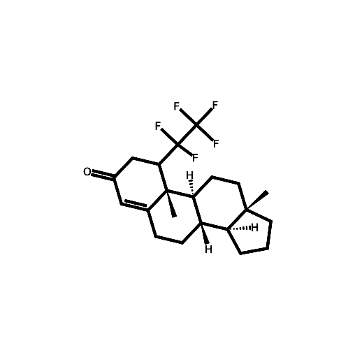 C[C@@]12CCC[C@H]1[C@@H]1CCC3=CC(=O)CC(C(F)(F)C(F)(F)F)[C@]3(C)[C@H]1CC2